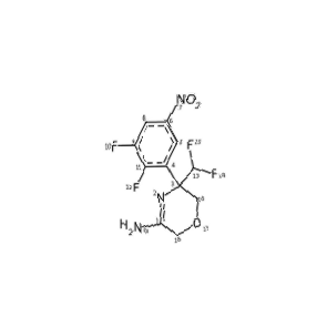 NC1=NC(c2cc([N+](=O)[O-])cc(F)c2F)(C(F)F)COC1